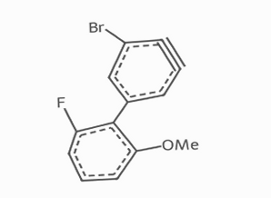 COc1cccc(F)c1-c1cc#cc(Br)c1